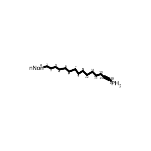 CCCCCCCCCCCCCCCCCCCCCCC#CP